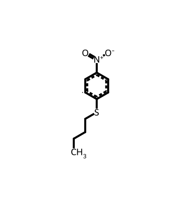 CCCCSc1[c]cc([N+](=O)[O-])cc1